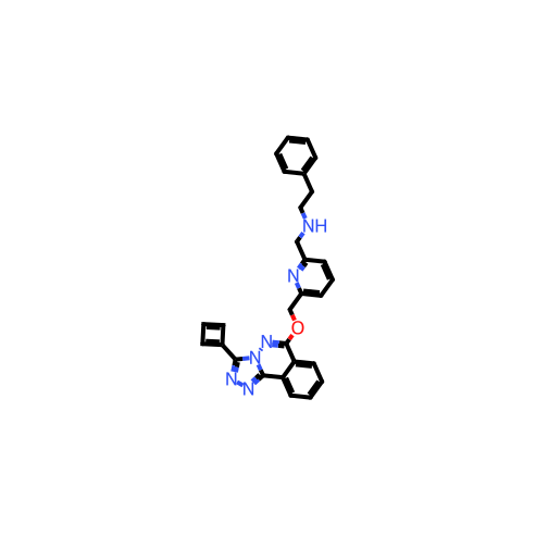 C1=CC(c2nnc3c4ccccc4c(OCc4cccc(CNCCc5ccccc5)n4)nn23)=C1